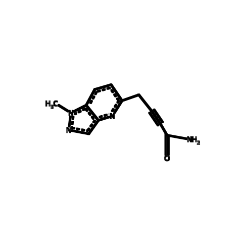 Cn1ncc2nc(CC#CC(N)=O)ccc21